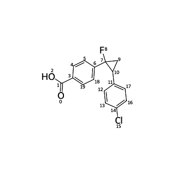 O=C(O)c1ccc(C2(F)CC2c2ccc(Cl)cc2)cc1